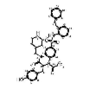 O=C(NCC1CCNCC1)[C@H](Cc1ccc(O)cc1)N(C(=O)C(F)(F)F)c1ccc(S(=O)(=O)Nc2ccccc2Oc2ccccc2)cc1